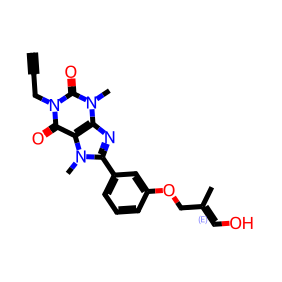 C#CCn1c(=O)c2c(nc(-c3cccc(OC/C(C)=C/O)c3)n2C)n(C)c1=O